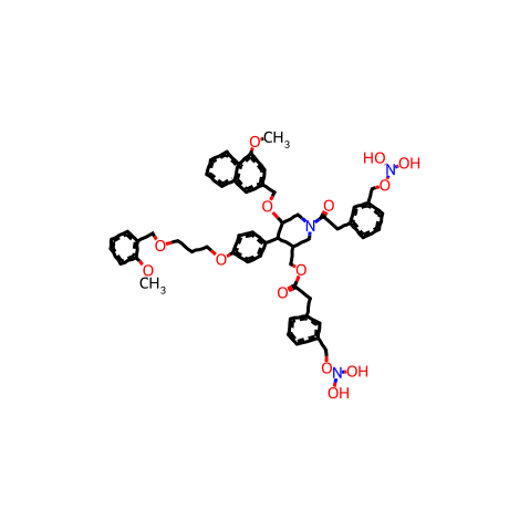 COc1ccccc1COCCCOc1ccc(C2C(COC(=O)Cc3cccc(CON(O)O)c3)CN(C(=O)Cc3cccc(CON(O)O)c3)CC2OCc2cc(OC)c3ccccc3c2)cc1